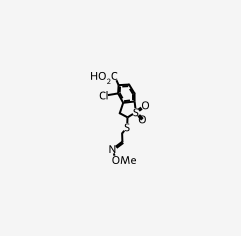 CON=CCSC1Cc2c(ccc(C(=O)O)c2Cl)S1(=O)=O